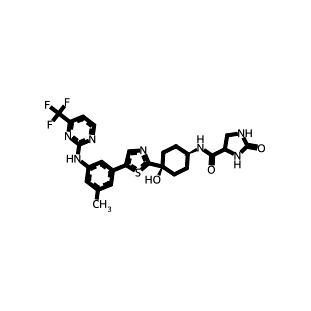 Cc1cc(Nc2nccc(C(F)(F)F)n2)cc(-c2cnc([C@]3(O)CC[C@@H](NC(=O)C4CNC(=O)N4)CC3)s2)c1